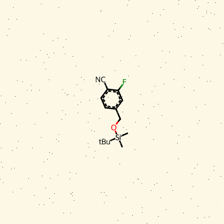 CC(C)(C)[Si](C)(C)OCc1ccc(C#N)c(F)c1